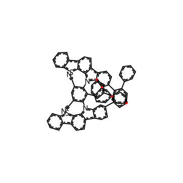 N#Cc1cc(C#N)c(-n2c3cc(-c4ccccc4-c4ccccc4)ccc3c3ccc4c5ccccc5sc4c32)c(-c2ccccc2)c1-n1c2cc(-c3ccccc3-c3ccccc3)ccc2c2ccc3c4ccccc4sc3c21